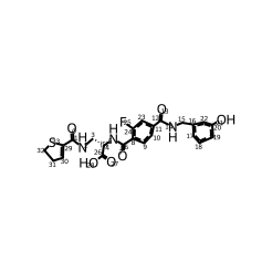 O=C(NC[C@H](NC(=O)c1ccc(C(=O)NCc2cccc(O)c2)cc1F)C(=O)O)C1=CCCS1